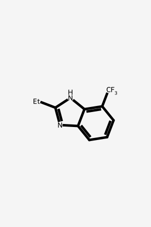 CCc1nc2cccc(C(F)(F)F)c2[nH]1